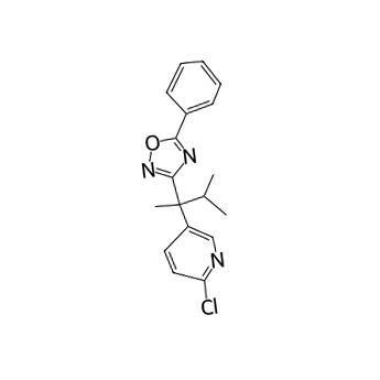 CC(C)C(C)(c1ccc(Cl)nc1)c1noc(-c2ccccc2)n1